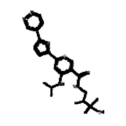 CC(C)Nc1cc(-n2ccc(-c3ccnnc3)n2)ncc1C(=O)NCC(F)C(C)(C)O